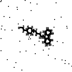 CCCC1CCN(CCCCn2c3ccccc3c3ccccc32)CC1